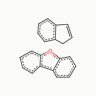 C1=Cc2ccccc2C1.c1ccc2c(c1)oc1ccccc12